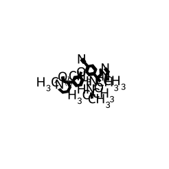 CC[C@]1(c2cccc(Oc3cc(C(C)(NC(=O)NC(C)(C)C)c4cncn4C)ccc3C#N)c2)CCCCN(C)C1=O